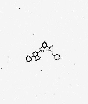 O=C(NCCC1CCNCC1)c1cccc(CNc2ncc(-c3ccncc3)c3c2CCO3)c1